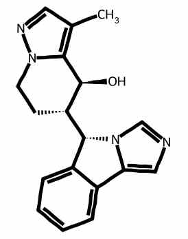 Cc1cnn2c1[C@@H](O)[C@H]([C@H]1c3ccccc3-c3cncn31)CC2